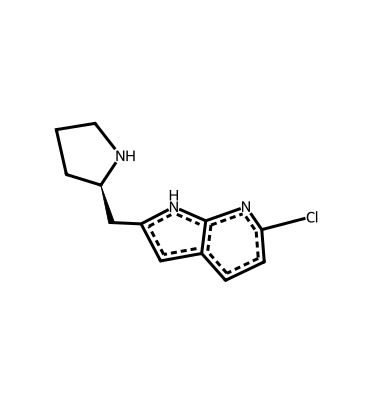 Clc1ccc2cc(C[C@H]3CCCN3)[nH]c2n1